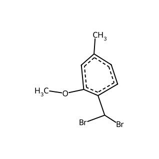 COc1cc(C)ccc1C(Br)Br